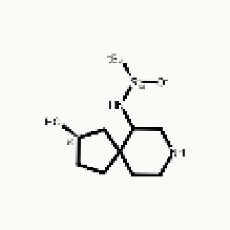 CC(C)(C)[S@@+]([O-])NC1CNCCC12CC[C@@H](O)C2